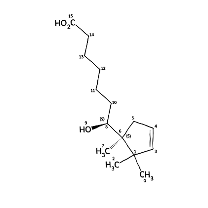 CC1(C)C=CC[C@]1(C)[C@@H](O)CCCCCC(=O)O